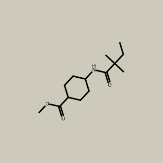 CCC(C)(C)C(=O)NC1CCC(C(=O)OC)CC1